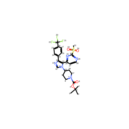 CC(C)(C)OC(=O)N1CCC(n2cnc(-c3ccc(C(F)(F)F)cc3)c2-c2ccnc(S(C)(=O)=O)n2)CC1